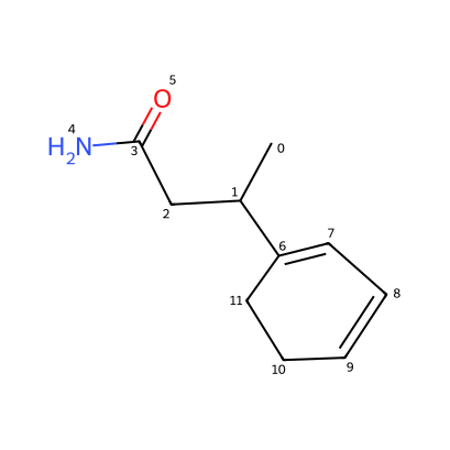 CC(CC(N)=O)C1=CC=CCC1